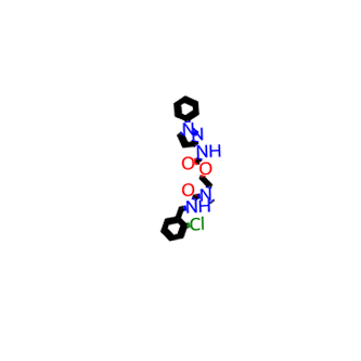 CN(CCOC(=O)Nc1ccn(-c2ccccc2)n1)C(=O)NCc1ccccc1Cl